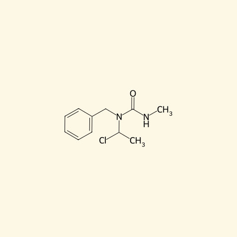 CNC(=O)N(Cc1ccccc1)C(C)Cl